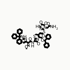 CON=C(C(=O)NC1C(=O)N2C(C(=O)OC(c3ccccc3)c3ccccc3)=C(C=CSc3n[nH]c(=O)c(=O)n3CC(N)=O)CSC12)c1csc(NC(c2ccccc2)(c2ccccc2)c2ccccc2)n1